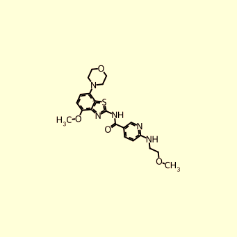 COCCNc1ccc(C(=O)Nc2nc3c(OC)ccc(N4CCOCC4)c3s2)cn1